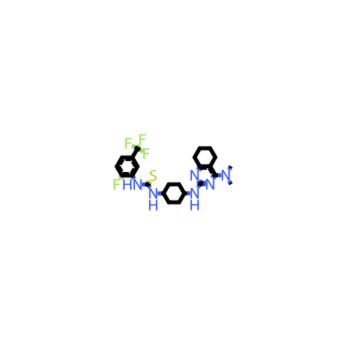 CN(C)c1nc(NC2CCC(NC(=S)Nc3cc(C(F)(F)F)ccc3F)CC2)nc2c1CCCC2